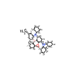 Cc1cc(C)c2c(c1)N(c1ccccc1)c1ccc(-n3c4ccccc4c4ccccc43)c3c1B2c1ccccc1O3